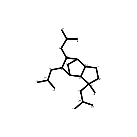 CC(C)CC1C2CC(C1CC(C)C)C1C2CCC1(C)CC(C)C